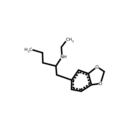 CCCC(Cc1ccc2c(c1)OCO2)NCC